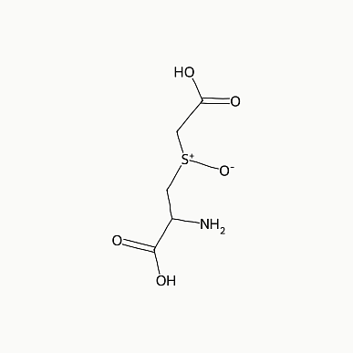 NC(C[S+]([O-])CC(=O)O)C(=O)O